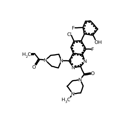 C=CC(=O)N1CCN(c2nc(C(=O)N3CCN(C)CC3)nc3c(F)c(-c4c(O)cccc4F)c(Cl)cc23)CC1